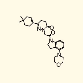 CC1(C)CC=C(C2=NN(CC(=O)N3CCc4c(N5CCOCC5)cccc43)C(=O)CC2)CC1